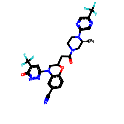 C[C@@H]1CN(C(=O)CC2CN(c3cc(C(F)(F)F)c(=O)[nH]n3)c3cc(C#N)ccc3O2)CCN1c1cnc(C(F)(F)F)cn1